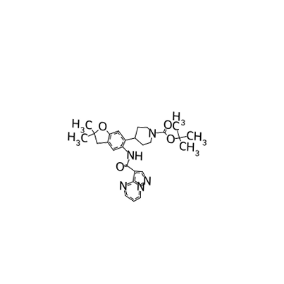 CC(C)(C)OC(=O)N1CCC(c2cc3c(cc2NC(=O)c2cnn4cccnc24)CC(C)(C)O3)CC1